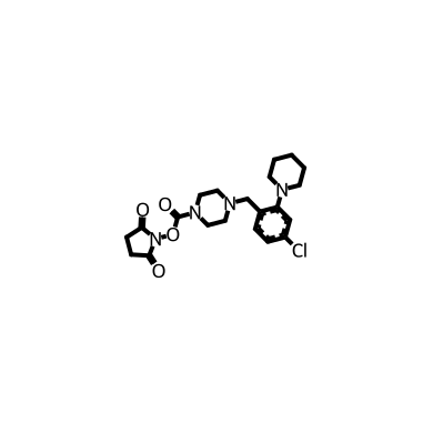 O=C(ON1C(=O)CCC1=O)N1CCN(Cc2ccc(Cl)cc2N2CCCCC2)CC1